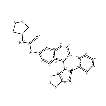 O=C(NC1CCCC1)Oc1ccc2c(-c3c(-c4ccccn4)nn4c3CCC4)ccnc2c1